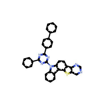 c1ccc(-c2ccc(-c3nc(-c4ccccc4)nc(-n4c5ccccc5c5c6sc7cncnc7c6ccc54)n3)cc2)cc1